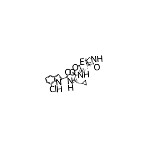 CCC(=O)[C@H](C[C@@H]1CCNC1=O)NC(=O)[C@H](CC1CC1)NC(=O)c1cc2cccc(Cl)c2[nH]1